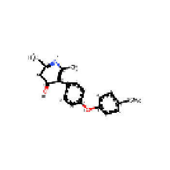 CSc1ccc(Oc2ccc(C3=C(C)N=C(C)CC3=O)cc2)cc1